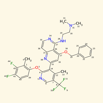 Cc1c(Oc2ncc(C(F)(F)F)c(C)c2-c2cc(OCc3ccccc3)c3c(NCCN(C)C)nccc3n2)ccc(F)c1F